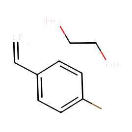 C=Cc1ccc(Br)cc1.OCCO